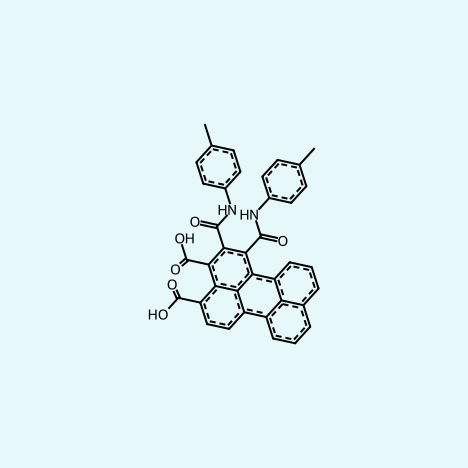 Cc1ccc(NC(=O)c2c(C(=O)O)c3c(C(=O)O)ccc4c5cccc6cccc(c(c2C(=O)Nc2ccc(C)cc2)c34)c65)cc1